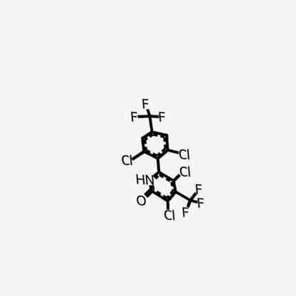 O=c1[nH]c(-c2c(Cl)cc(C(F)(F)F)cc2Cl)c(Cl)c(C(F)(F)F)c1Cl